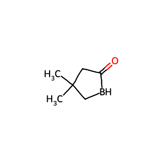 CC1(C)CBC(=O)C1